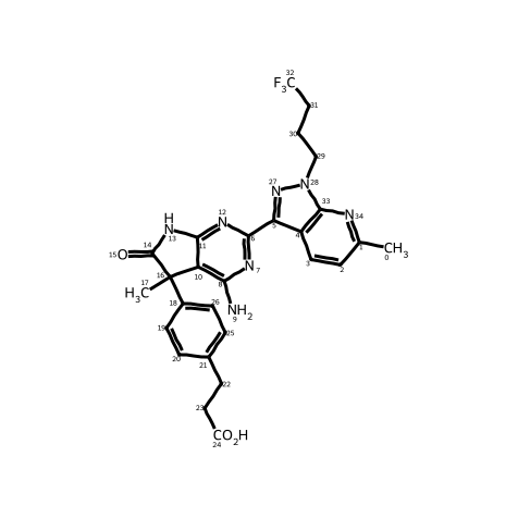 Cc1ccc2c(-c3nc(N)c4c(n3)NC(=O)C4(C)c3ccc(CCC(=O)O)cc3)nn(CCCC(F)(F)F)c2n1